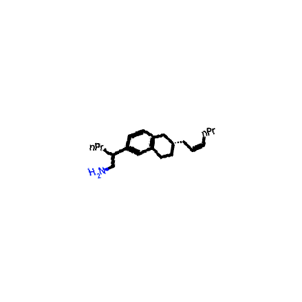 CCC/C=C\C[C@@H]1CCc2cc(C(CN)CCC)ccc2C1